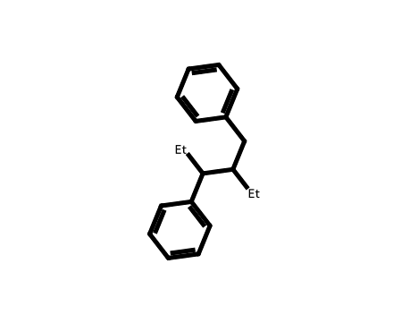 [CH2]CC(Cc1ccccc1)C(CC)c1ccccc1